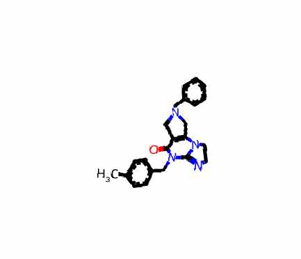 Cc1ccc(CN2C(=O)C3=C(CN(Cc4ccccc4)C3)N3CCN=C23)cc1